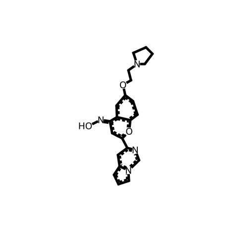 O/N=c1\cc(-c2cc3cccn3cn2)oc2ccc(OCCN3CCCC3)cc12